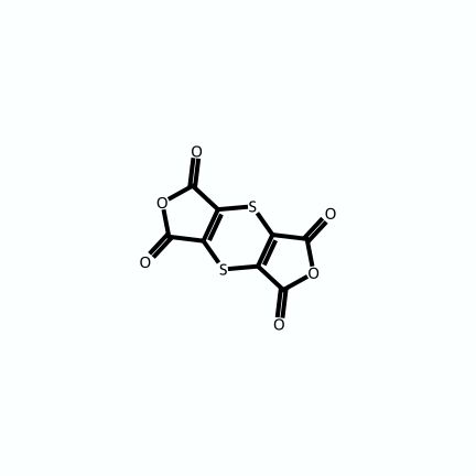 O=c1oc(=O)c2sc3c(=O)oc(=O)c3sc12